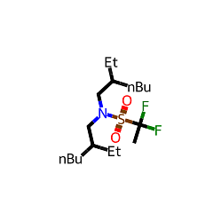 CCCCC(CC)CN(CC(CC)CCCC)S(=O)(=O)C(C)(F)F